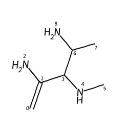 C=C(N)C(NC)C(C)N